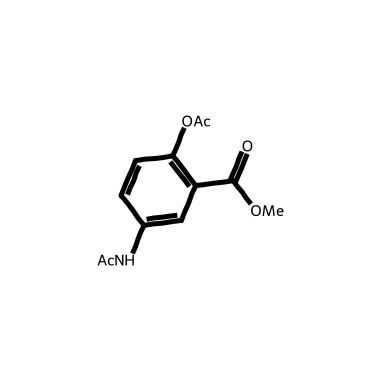 COC(=O)c1cc(NC(C)=O)ccc1OC(C)=O